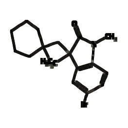 CN1C(=O)C(C)(CC2(C)CCCCC2)c2cc(Br)ccc21